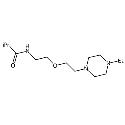 CCN1CCN(CCOCCNC(=O)C(C)C)CC1